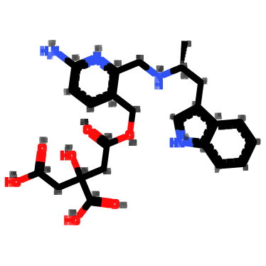 C[C@H](Cc1c[nH]c2ccccc12)NCc1nc(N)ccc1COC(=O)CC(O)(CC(=O)O)C(=O)O